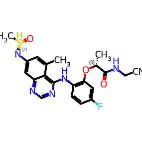 Cc1cc(/N=[SH](/C)=O)cc2ncnc(Nc3ccc(F)cc3O[C@H](C)C(=O)NCC#N)c12